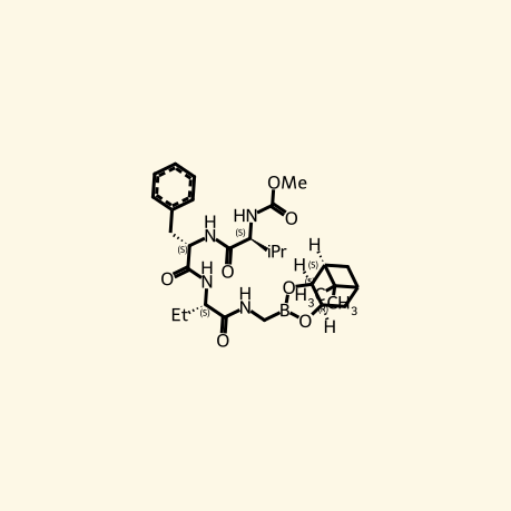 CC[C@H](NC(=O)[C@H](Cc1ccccc1)NC(=O)[C@@H](NC(=O)OC)C(C)C)C(=O)NCB1O[C@H]2[C@H]3CC(C[C@H]2O1)C3(C)C